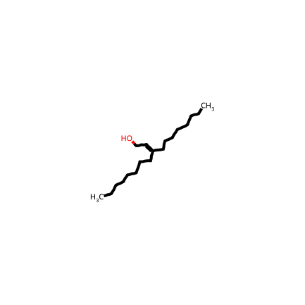 CCCCCCCCC(=CCO)CCCCCCCC